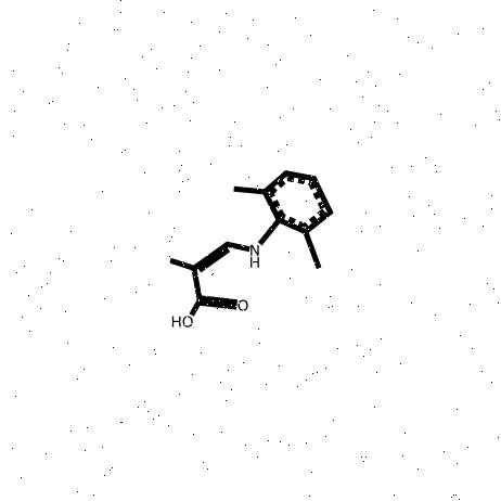 CC(=CNc1c(C)cccc1C)C(=O)O